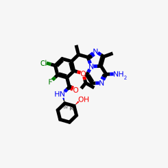 Cc1nc(C(C)c2cc(Cl)c(F)c(C(=O)N[C@H]3CCCC[C@H]3O)c2OC(C)C)n2ccnc(N)c12